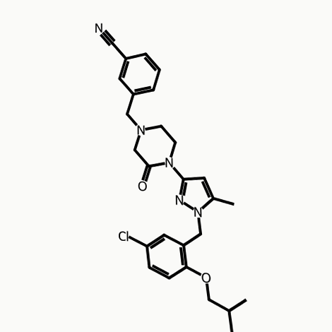 Cc1cc(N2CCN(Cc3cccc(C#N)c3)CC2=O)nn1Cc1cc(Cl)ccc1OCC(C)C